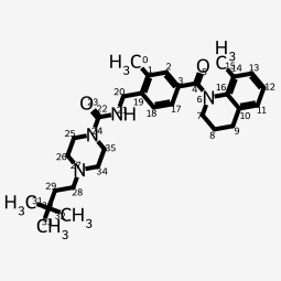 Cc1cc(C(=O)N2CCCc3cccc(C)c32)ccc1CNC(=O)N1CCN(CCC(C)(C)C)CC1